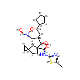 Cc1cnc(NC(=O)C2(C(=O)C(CCC3CCCC3)CN(O)C=O)CCC3(CC3)C2)s1